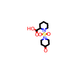 O=C1CCN(S(=O)(=O)N2CCCCC2C(=O)O)CC1